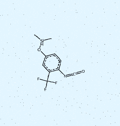 C[SiH](C)Oc1ccc(N=C=O)c(C(F)(F)F)c1